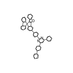 c1ccc(-c2ccc(-c3cc(-c4ccccc4)nc(-c4ccc(-c5ccc6c(c5)-c5oc7ccccc7c5C65c6ccccc6-c6ccccc65)cc4)n3)cc2)cc1